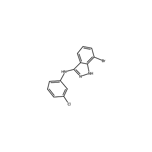 Clc1cccc(Nc2n[nH]c3c(Br)cccc23)c1